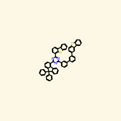 c1ccc(C2(c3ccccc3)c3ccccc3-c3c(-c4nc(-c5cccc(-c6cccc(-c7ccc8sc9ccccc9c8c7)c6)c5)nc(-c5cccc6c5sc5ccccc56)n4)cccc32)cc1